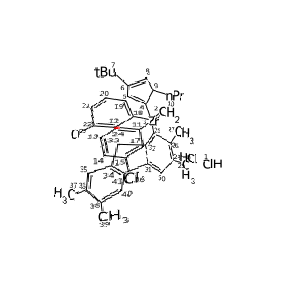 Cl.Cl.[CH2]=[Zr]([C]1=CC(C(C)(C)C)=CC1CCC)([c]1cccc(Cl)c1)([c]1cccc(Cl)c1)[c]1c(C)c(C)cc2c1Cc1cc(C)c(C)cc1-2